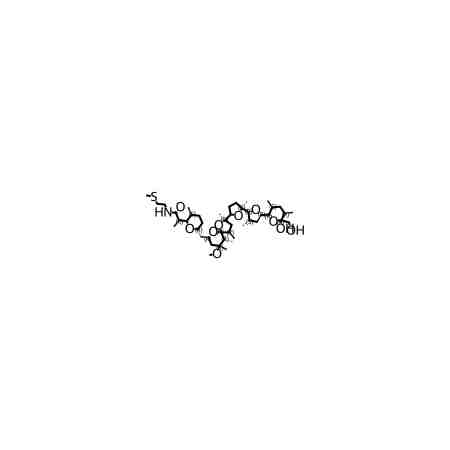 CO[C@]1(C)C[C@@H](C[C@H]2CC[C@H](C)C([C@@H](C)C(=O)NCCSC)O2)O[C@]2(O[C@@](C)(C3CC[C@@](C)([C@@H]4O[C@@H]([C@@H]5O[C@@](O)(CO)[C@H](C)C[C@@H]5C)C[C@@H]4C)O3)C[C@H]2C)[C@@H]1C